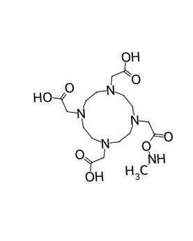 CNOC(=O)CN1CCN(CC(=O)O)CCN(CC(=O)O)CCN(CC(=O)O)CC1